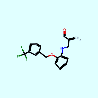 C=C(C=O)CNc1ccccc1OCc1cccc(C(F)(F)F)c1